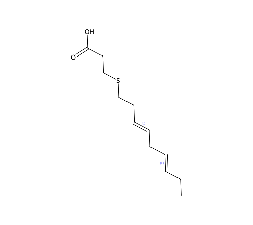 CC/C=C/C/C=C/CCSCCC(=O)O